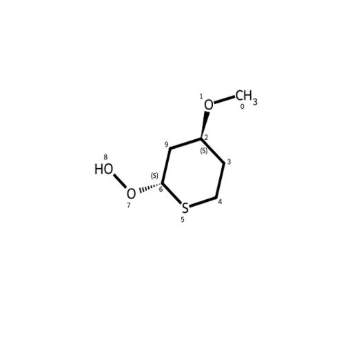 CO[C@H]1CCS[C@H](OO)C1